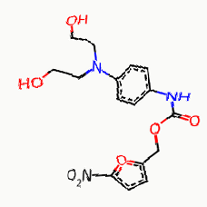 O=C(Nc1ccc(N(CCO)CCO)cc1)OCc1ccc([N+](=O)[O-])o1